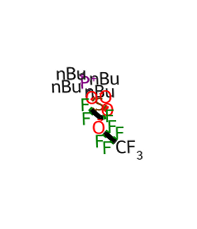 CCCC[P+](CCCC)(CCCC)CCCC.O=S(=O)([O-])C(F)(F)C(F)OC(F)(F)C(F)(F)C(F)(F)F